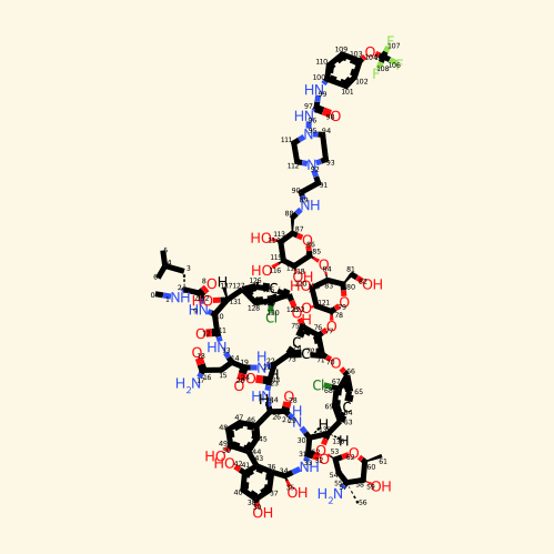 CN[C@H](CC(C)C)C(=O)NC1C(=O)NC(CC(N)=O)C(=O)N[C@H]2C(=O)N[C@H]3C(=O)N[C@H](C(=O)N[C@@H](O)c4cc(O)cc(O)c4-c4cc3ccc4O)[C@H](O[C@H]3C[C@](C)(N)[C@@H](O)[C@H](C)O3)c3ccc(c(Cl)c3)Oc3cc2cc(c3O[C@@H]2O[C@H](CO)[C@@H](O[C@@H]3O[C@H](CNCCN4CCN(NC(=O)Nc5ccc(OC(F)(F)F)cc5)CC4)[C@H](O)[C@H](O)[C@H]3O)[C@H](O)[C@H]2O)Oc2ccc(cc2Cl)[C@H]1O